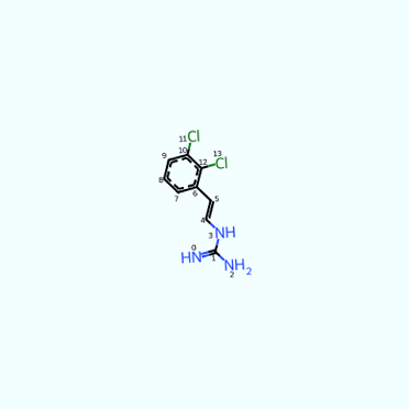 N=C(N)N/C=C/c1cccc(Cl)c1Cl